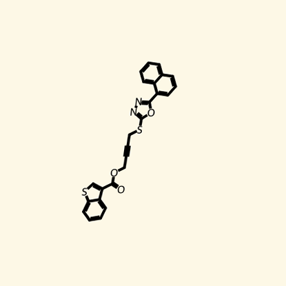 O=C(OCC#CCSc1nnc(-c2cccc3ccccc23)o1)c1csc2ccccc12